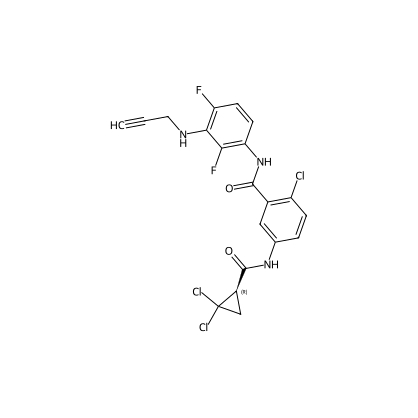 C#CCNc1c(F)ccc(NC(=O)c2cc(NC(=O)[C@H]3CC3(Cl)Cl)ccc2Cl)c1F